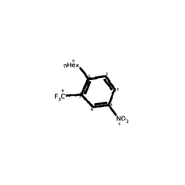 CCCCCCc1ccc([N+](=O)[O-])cc1C(F)(F)F